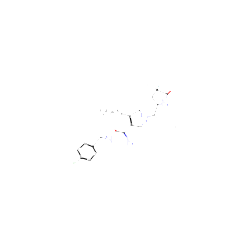 CNC1=C(C(=N)C(=O)NCc2ccc(Cl)cc2)CN(C(C)C2CC(C)(F)C(=O)N2)C1